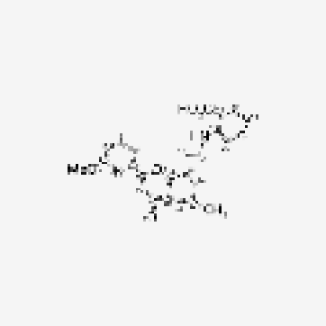 COc1cccc(-c2cc(=O)c3cc(C)cc(CCNc4ccccc4C(=O)O)c3o2)n1